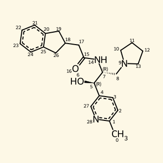 Cc1ccc([C@@H](O)[C@@H](CN2CCCC2)NC(=O)CC2Cc3ccccc3C2)cn1